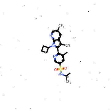 Cc1cc(S(=O)(=O)N[C@@H](C)C(F)(F)F)cnc1-c1c(C#N)c2cc(C(F)(F)F)cnc2n1C1CCC1